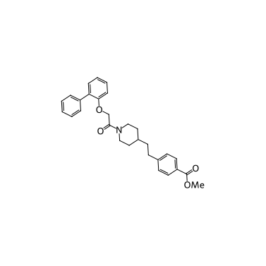 COC(=O)c1ccc(CCC2CCN(C(=O)COc3ccccc3-c3ccccc3)CC2)cc1